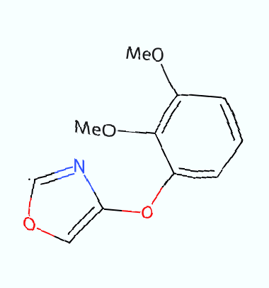 COc1cccc(Oc2co[c]n2)c1OC